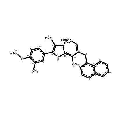 C/C=C(Cc1cccc2ccccc12)\C(OC)=C1\SC(c2ccc(OCCCCCC)c(C)c2)=C(C=O)N1C=O